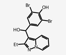 CCc1nn2ccccc2c1C(O)c1cc(Br)c(O)c(Br)c1